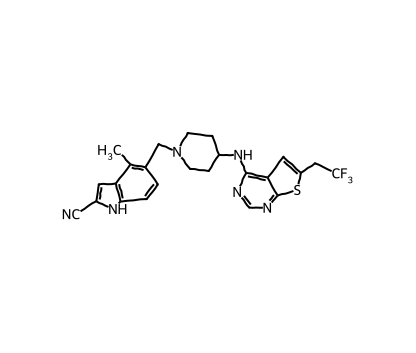 Cc1c(CN2CCC(Nc3ncnc4sc(CC(F)(F)F)cc34)CC2)ccc2[nH]c(C#N)cc12